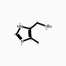 CCCCCc1[nH][c]nc1C